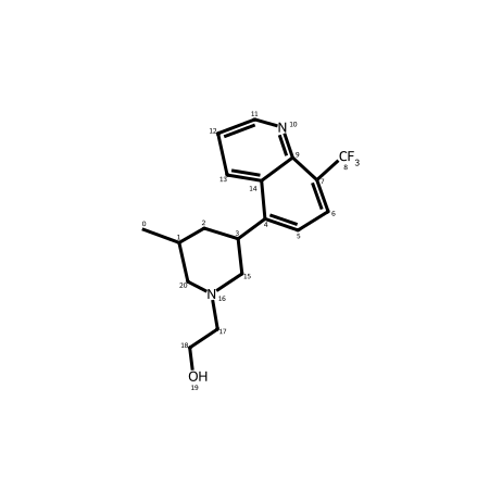 CC1CC(c2ccc(C(F)(F)F)c3ncccc23)CN(CCO)C1